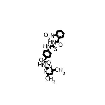 Cc1cc(C)nc(NS(=O)(=O)c2ccc(NC(=S)NC(=O)c3ccccc3[N+](=O)[O-])cc2)n1